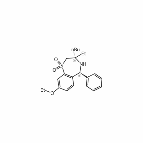 CCCC[C@@]1(CC)CS(=O)(=O)c2cc(OCC)ccc2[C@H](c2ccccc2)N1